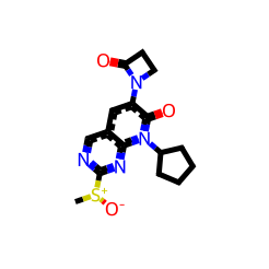 C[S+]([O-])c1ncc2cc(N3CCC3=O)c(=O)n(C3CCCC3)c2n1